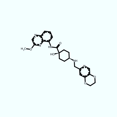 COc1cnc2cccc(NC(=O)[C@]3(O)CC[C@@H](NCc4cc5c(cn4)OCCO5)CC3)c2n1